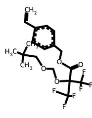 C=Cc1ccc(COC(=O)C(OCOCC(C)(C)C)(C(F)(F)F)C(F)(F)F)cc1